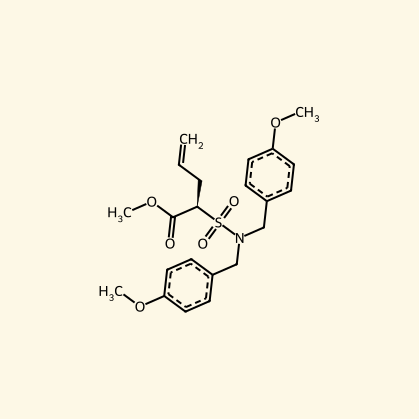 C=CC[C@H](C(=O)OC)S(=O)(=O)N(Cc1ccc(OC)cc1)Cc1ccc(OC)cc1